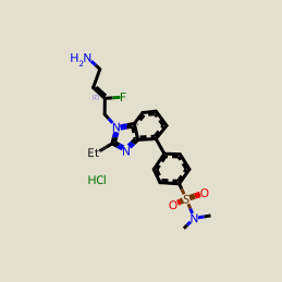 CCc1nc2c(-c3ccc(S(=O)(=O)N(C)C)cc3)cccc2n1C/C(F)=C/CN.Cl